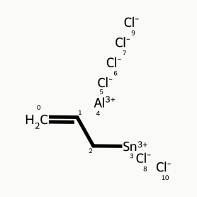 C=C[CH2][Sn+3].[Al+3].[Cl-].[Cl-].[Cl-].[Cl-].[Cl-].[Cl-]